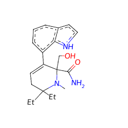 CCC1(CC)CC=C(c2cccc3cc[nH]c23)C(CO)(C(N)=O)N1C